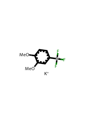 COc1ccc([B-](F)(F)F)cc1OC.[K+]